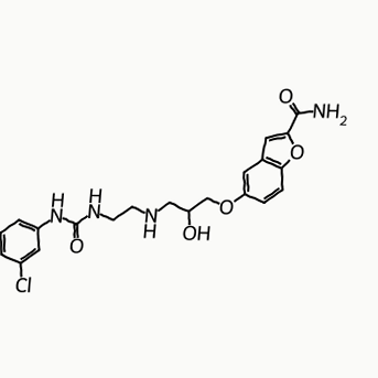 NC(=O)c1cc2cc(OCC(O)CNCCNC(=O)Nc3cccc(Cl)c3)ccc2o1